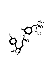 CCOP(=O)(Cc1ccc(NC(=O)/C=C/c2cnn(C)c2-c2ccc(F)cc2)c(C)c1)OCC